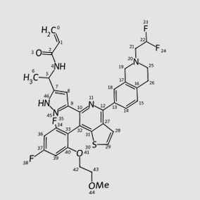 C=CC(=O)NC(C)c1cc(-c2nc(-c3ccc4c(c3)CN(CC(F)F)CC4)c3ccsc3c2-c2c(F)cc(F)cc2OCCOC)n[nH]1